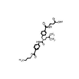 CCCCOC(=O)c1ccc(NC(=O)N(CCC(C)C)Cc2ccc(C(=O)NCCC(=O)O)cc2)cc1